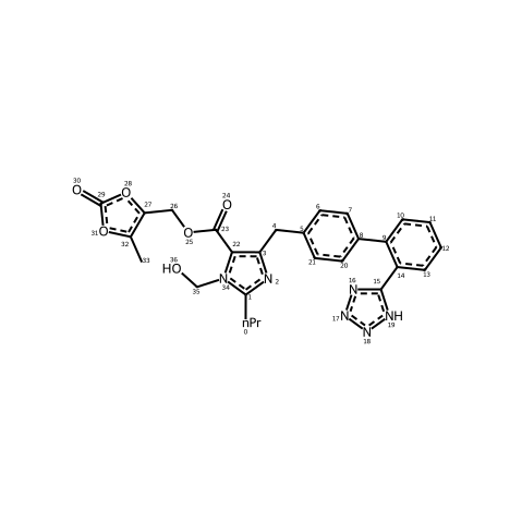 CCCc1nc(Cc2ccc(-c3ccccc3-c3nnn[nH]3)cc2)c(C(=O)OCc2oc(=O)oc2C)n1CO